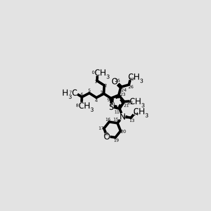 CCCC(CCC(C)C)c1sc(N(CC)C2CCOCC2)c(C)c1C(=O)CC